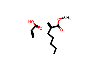 C=C(CCCCC)C(=O)O[SiH3].C=CC(=O)O